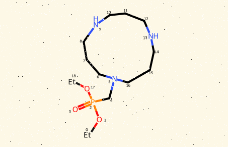 CCOP(=O)([CH]N1CCCNCCCNCCC1)OCC